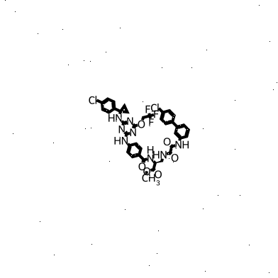 COC(=O)[C@H](CNC(=O)C(=O)Nc1cccc(-c2ccc(Cl)cc2)c1)NC(=O)c1ccc(Nc2nc(NC3(c4ccc(Cl)cc4)CC3)nc(OCC(F)(F)F)n2)cc1